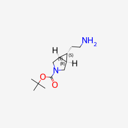 CC(C)(C)OC(=O)N1C[C@@H]2[C@@H](CCN)[C@@H]2C1